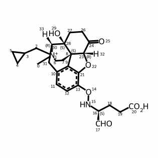 C[N+]1(CC2CC2)CC[C@]23c4c5ccc(ON[C@H](C=O)CCC(=O)O)c4O[C@H]2C(=O)CC[C@@]3(O)[C@H]1C5